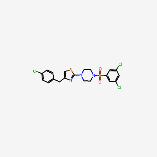 O=S(=O)(c1cc(Cl)cc(Cl)c1)N1CCN(c2nc(Cc3ccc(Cl)cc3)cs2)CC1